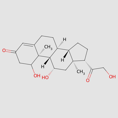 C[C@]12C[C@H](O)[C@H]3[C@@H](CCC4=CC(=O)CC(O)[C@@]43C)[C@@H]1CC[C@@H]2C(=O)CO